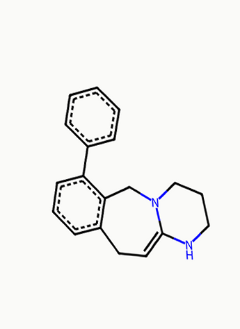 C1=C2NCCCN2Cc2c(cccc2-c2ccccc2)C1